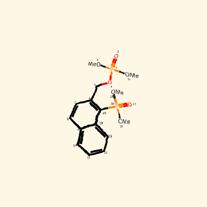 COP(=O)(OC)OCc1ccc2ccccc2c1P(=O)(OC)OC